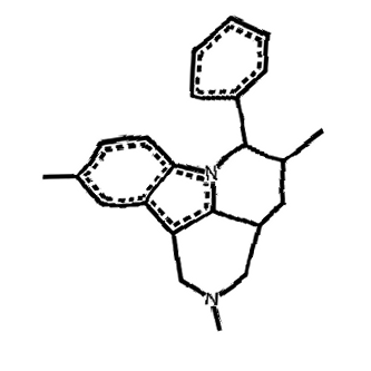 Cc1ccc2c(c1)c1c3n2C(c2ccccc2)C(C)CC3CN(C)C1